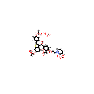 CC(=O)Oc1ccc(-c2sc3cc(OC(C)=O)cc(OC(C)=O)c3c2C(=O)c2ccc(OCCN3CCCCC3)cc2)cc1.O.O